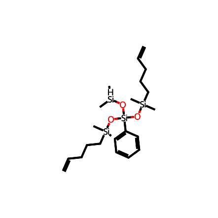 C=CCCC[Si](C)(C)O[Si](O[SiH](C)C)(O[Si](C)(C)CCCC=C)c1ccccc1